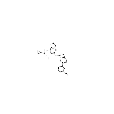 CC(c1cc(NC(=O)C2CC2)c2nccn2n1)c1nnc2ccc(-c3cccc(C#N)c3)cn12